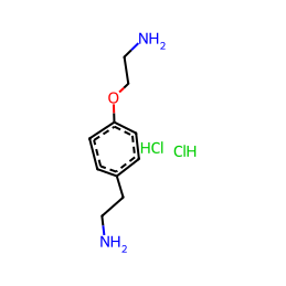 Cl.Cl.NCCOc1ccc(CCN)cc1